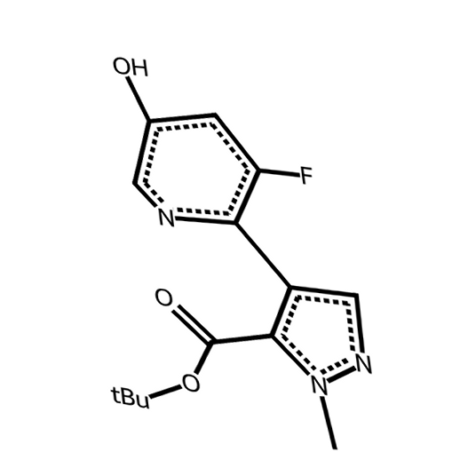 Cn1ncc(-c2ncc(O)cc2F)c1C(=O)OC(C)(C)C